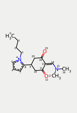 CCCCn1cccc1C1CC(=O)C(=CN(C)C)C(=O)C1